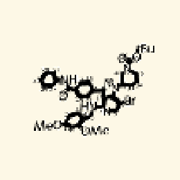 COc1ccc(CNc2ncc(Br)c3c2c(-c2ccc(C(=O)Nc4ccccc4)cc2)nn3[C@@H]2CCCN(C(=O)OC(C)(C)C)C2)c(OC)c1